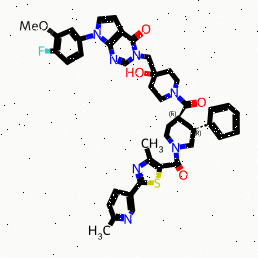 COc1cc(-n2ccc3c(=O)n(CC4(O)CCN(C(=O)[C@@H]5CCN(C(=O)c6sc(-c7ccc(C)nc7)nc6C)C[C@H]5c5ccccc5)CC4)cnc32)ccc1F